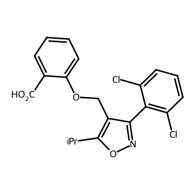 CC(C)c1onc(-c2c(Cl)cccc2Cl)c1COc1ccccc1C(=O)O